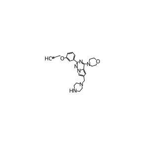 C#CCOc1cccc(-c2nc(N3CCOCC3)c3cc(CN4CCNCC4)cn3n2)c1